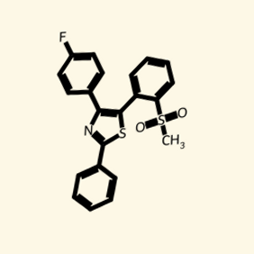 CS(=O)(=O)c1ccccc1-c1sc(-c2ccccc2)nc1-c1ccc(F)cc1